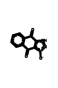 O=C1c2ccccc2C(=O)c2c1[nH]n[n+]2[O-]